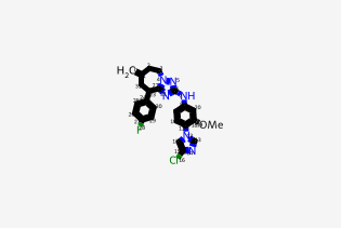 C=C1CCn2nc(Nc3ccc(-n4cnc(Cl)c4)c(OC)c3)nc2C(c2ccc(F)cc2)C1